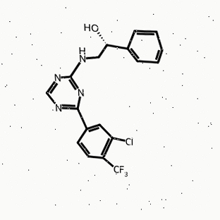 O[C@@H](CNc1ncnc(-c2ccc(C(F)(F)F)c(Cl)c2)n1)c1ccccc1